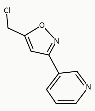 ClCc1cc(-c2cccnc2)no1